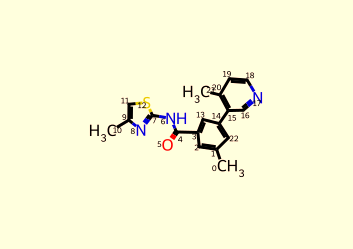 Cc1cc(C(=O)Nc2nc(C)cs2)cc(-c2cnccc2C)c1